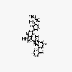 CC(C)(C)C(=O)Nc1cncc(-c2cnc3[nH]nc(-c4nc5c(-c6ccccc6F)cccc5[nH]4)c3c2)c1